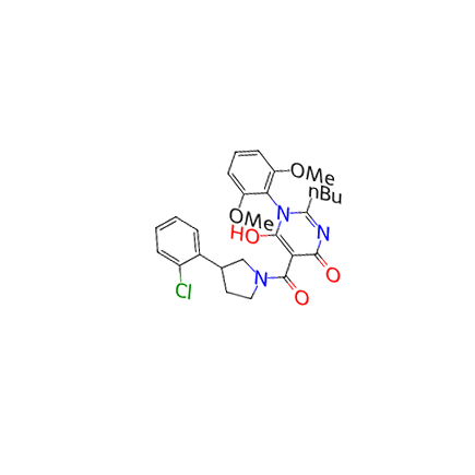 CCCCc1nc(=O)c(C(=O)N2CCC(c3ccccc3Cl)C2)c(O)n1-c1c(OC)cccc1OC